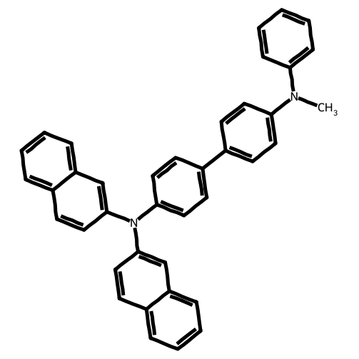 CN(c1ccccc1)c1ccc(-c2ccc(N(c3ccc4ccccc4c3)c3ccc4ccccc4c3)cc2)cc1